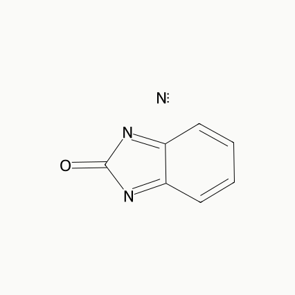 O=C1N=c2ccccc2=N1.[N]